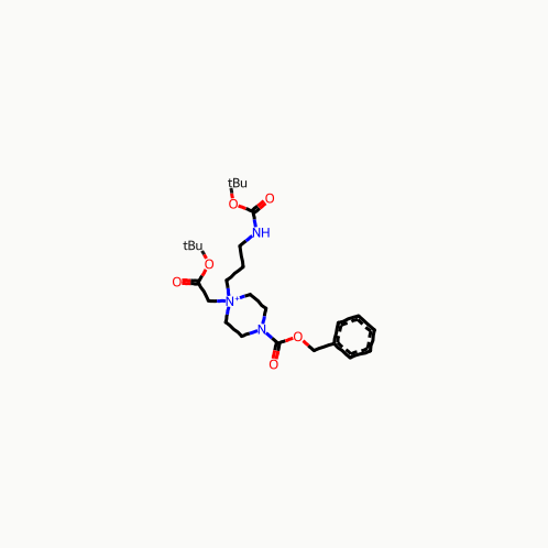 CC(C)(C)OC(=O)C[N+]1(CCCNC(=O)OC(C)(C)C)CCN(C(=O)OCc2ccccc2)CC1